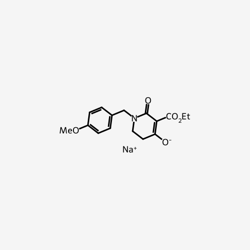 CCOC(=O)C1=C([O-])CCN(Cc2ccc(OC)cc2)C1=O.[Na+]